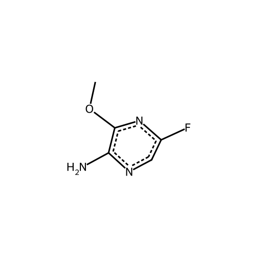 COc1nc(F)cnc1N